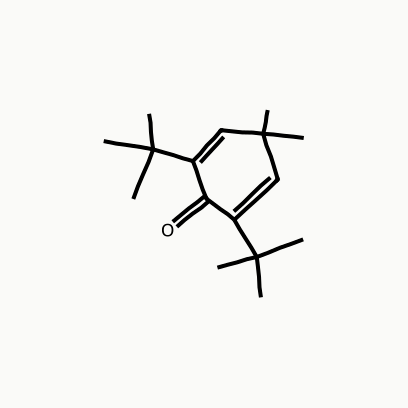 CC1(C)C=C(C(C)(C)C)C(=O)C(C(C)(C)C)=C1